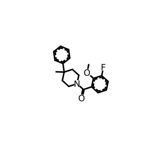 COc1c(F)cccc1C(=O)N1CCC(C)(c2ccccc2)CC1